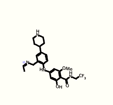 C/C=N\Cc1cc(C2CCNCC2)ccc1Nc1cc(O)c(C(=O)NCC(F)(F)F)c(OC)c1